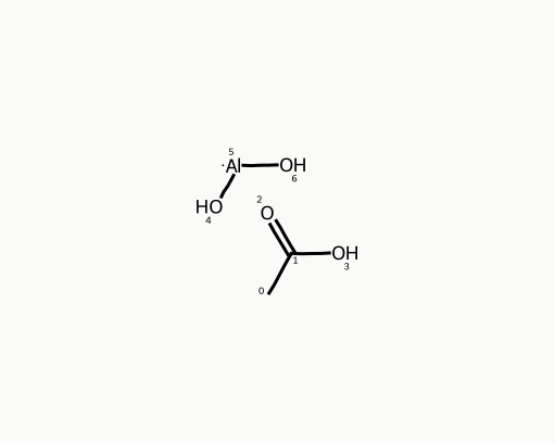 CC(=O)O.[OH][Al][OH]